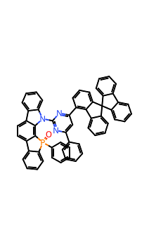 O=P1(c2ccccc2)c2ccccc2-c2ccc3c4ccccc4n(-c4nc(-c5ccccc5)cc(-c5cccc6c5-c5ccccc5C65c6ccccc6-c6ccccc65)n4)c3c21